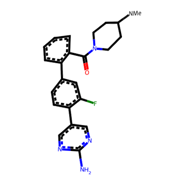 CNC1CCN(C(=O)c2ccccc2-c2ccc(-c3cnc(N)nc3)c(F)c2)CC1